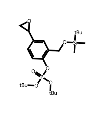 CC(C)(C)OP(=O)(Oc1ccc(C2CO2)cc1CO[Si](C)(C)C(C)(C)C)OC(C)(C)C